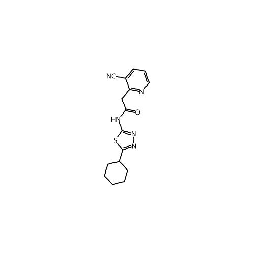 N#Cc1cccnc1CC(=O)Nc1nnc(C2CCCCC2)s1